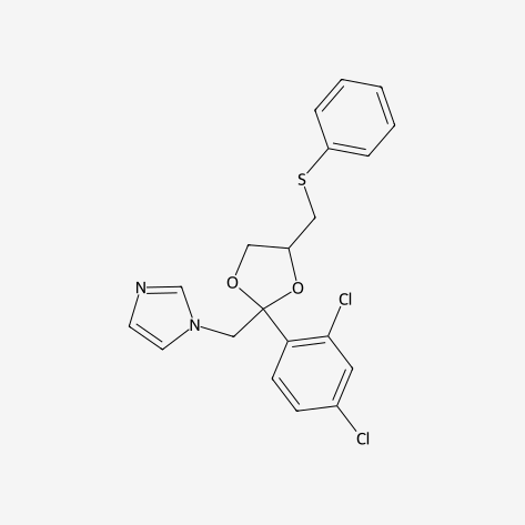 Clc1ccc(C2(Cn3ccnc3)OCC(CSc3ccccc3)O2)c(Cl)c1